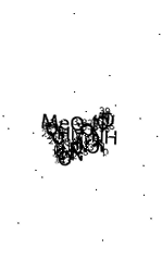 C=CC(=O)Nc1cc(Nc2cc(N3OCC[C@@H]3c3ccc4ccccc4c3)ncn2)c(OC)cc1N1CCO[C@H](C)C1